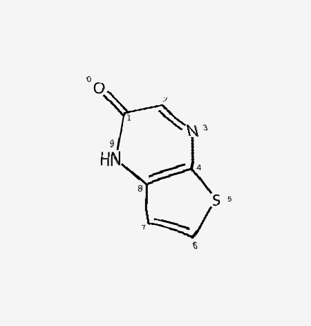 O=c1cnc2sccc2[nH]1